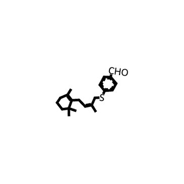 CC(=CCC1=C(C)CCCC1(C)C)CSc1ccc(C=O)cc1